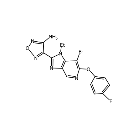 CCn1c(-c2nonc2N)nc2cnc(Oc3ccc(F)cc3)c(Br)c21